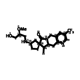 CO[C@H](CO)CN[C@@H]1CC[C@@]2(C1)C(=O)N1Cc3cc(C(F)(F)F)cnc3CC1C2C